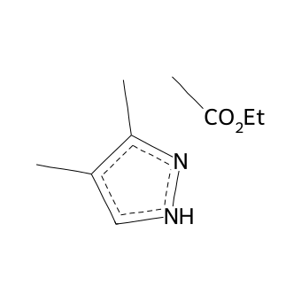 CCOC(C)=O.Cc1c[nH]nc1C